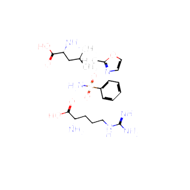 CC(C)C[C@H](N)C(=O)O.Cc1ncco1.N=C(N)NCCC[C@H](N)C(=O)O.NS(=O)(=O)c1ccccc1